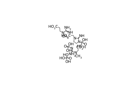 CN(CC(=O)O)C(N)=NP(=O)(O)O.CN(CCC(=O)O)C(=N)N.N=C1N(CC(=O)O)CCN1P(=O)(O)O.O=P(O)(O)O